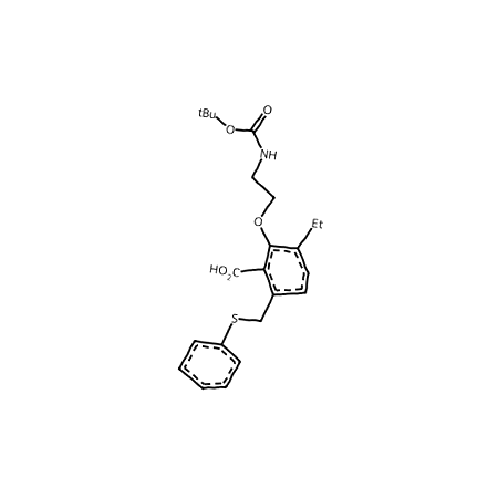 CCc1ccc(CSc2ccccc2)c(C(=O)O)c1OCCNC(=O)OC(C)(C)C